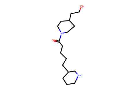 O=C(CCCCC1CCCNC1)N1CCC(CCO)CC1